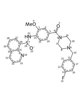 COc1cc(C(=O)N2CCN(Cc3ccc(F)cc3)CC2)ccc1N[S+]([O-])c1cccc2cccnc12